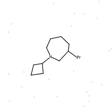 CC(C)C1CCCCN(C2CCC2)C1